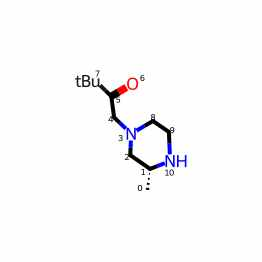 C[C@@H]1CN(CC(=O)C(C)(C)C)CCN1